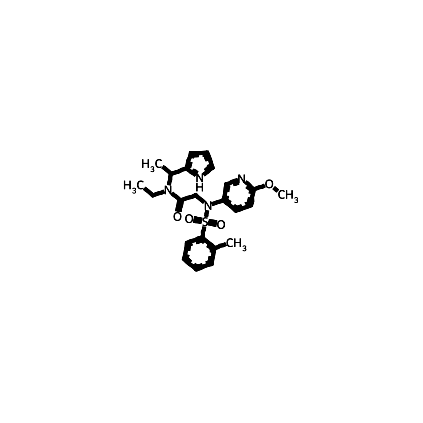 CCN(C(=O)CN(c1ccc(OC)nc1)S(=O)(=O)c1ccccc1C)C(C)c1ccc[nH]1